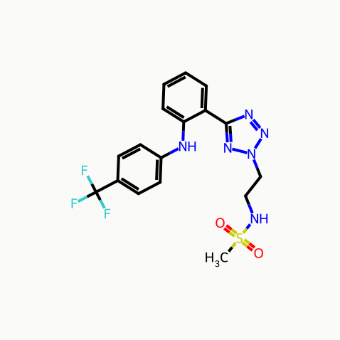 CS(=O)(=O)NCCn1nnc(-c2ccccc2Nc2ccc(C(F)(F)F)cc2)n1